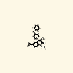 Cn1c(=O)c(C#N)c(N2CCC(Sc3ccccc3)CC2)c2cc(C3CC3)ccc21